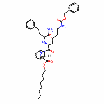 CCCCCCCCOC(=O)[C@@H]1C2CCC(CC2)N1C(=O)[C@H](CCCCNC(=O)OCc1ccccc1)N[C@@H](CCc1ccccc1)C(N)=O